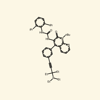 CCCCn1c(=O)c(NC(=O)Nc2c(C(C)C)cccc2C(C)C)c(-c2cccc(C#CC(CC)(CC)N(CC)CC)c2)c2cccnc21